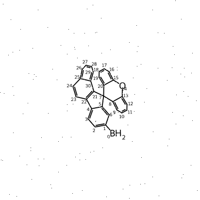 Bc1ccc2c(c1)C1(c3ccccc3Oc3ccccc31)c1c-2ccc2ccccc12